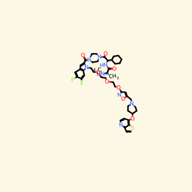 CN[C@@H](C)C(=O)NC(C(=O)N1CCN(C(=O)c2cc3cc(F)c(F)cc3n2CCOCCOCCOc2cc(CN3CCC(Oc4ccnc5ccsc45)CC3)on2)CC1)C1CCCCC1